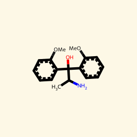 COc1ccccc1C(O)(c1ccccc1OC)C(C)N